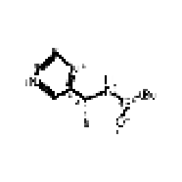 C[C@@H](N[S+]([O-])C(C)(C)C)c1cnccn1